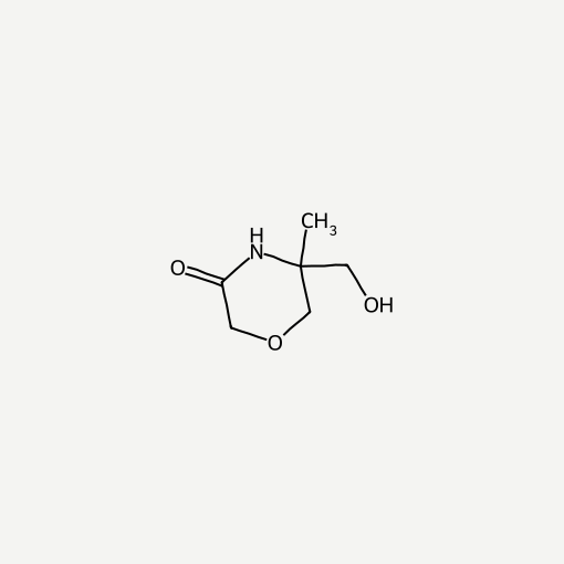 CC1(CO)COCC(=O)N1